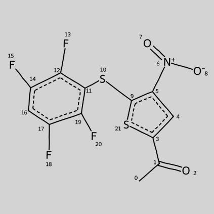 CC(=O)c1cc([N+](=O)[O-])c(Sc2c(F)c(F)cc(F)c2F)s1